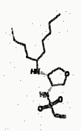 C=CS(=O)(=O)N[C@H]1COC[C@H]1NC(CCCC)CCCCC